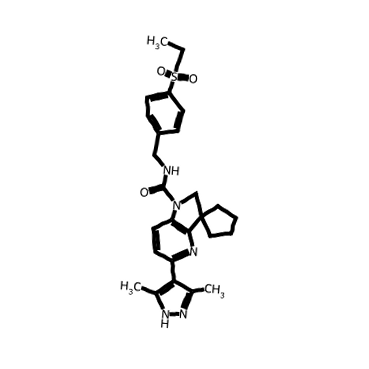 CCS(=O)(=O)c1ccc(CNC(=O)N2CC3(CCCC3)c3nc(-c4c(C)n[nH]c4C)ccc32)cc1